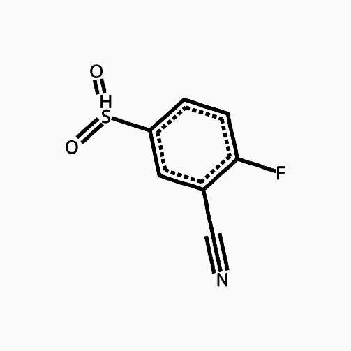 N#Cc1cc([SH](=O)=O)ccc1F